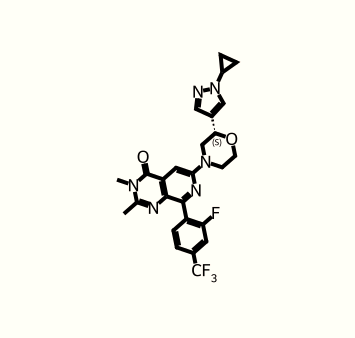 Cc1nc2c(-c3ccc(C(F)(F)F)cc3F)nc(N3CCO[C@@H](c4cnn(C5CC5)c4)C3)cc2c(=O)n1C